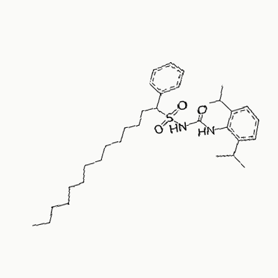 CCCCCCCCCCCCCC(c1ccccc1)S(=O)(=O)NC(=O)Nc1c(C(C)C)cccc1C(C)C